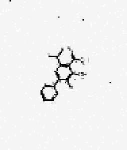 Cc1c(-c2ccccc2)cc(C(C)C)c(C(=O)O)c1O